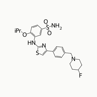 CC(C)Oc1ccc(S(N)(=O)=O)cc1Nc1nc(-c2ccc(CN3CCC(F)CC3)cc2)cs1